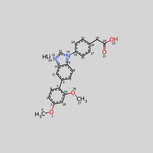 COc1ccc(-c2ccc3c(c2)ncn3-c2ccc(CC(=O)O)cc2)c(OC)c1.[LiH]